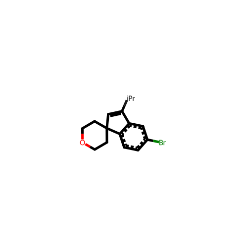 CC(C)C1=CC2(CCOCC2)c2ccc(Br)cc21